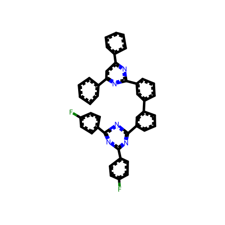 Fc1ccc(-c2nc(-c3ccc(F)cc3)nc(-c3cccc(-c4cccc(-c5nc(-c6ccccc6)cc(-c6ccccc6)n5)c4)c3)n2)cc1